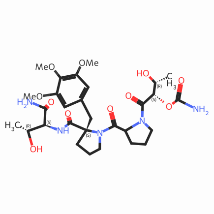 COc1cc(C[C@]2(C(=O)N[C@H](C(N)=O)[C@@H](C)O)CCCN2C(=O)C2CCCN2C(=O)[C@@H](OC(N)=O)[C@@H](C)O)cc(OC)c1OC